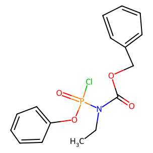 CCN(C(=O)OCc1ccccc1)P(=O)(Cl)Oc1ccccc1